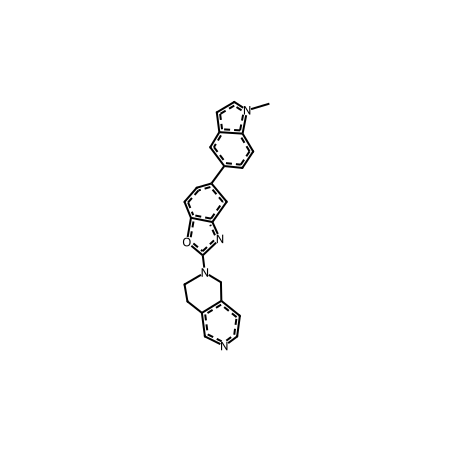 Cn1ccc2cc(-c3ccc4oc(N5CCc6cnccc6C5)nc4c3)ccc21